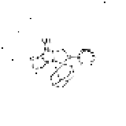 Cn1c2c(c3ccoc31)C1(C3CC4CC(C3)CC1C4)N(c1ccccc1)C2